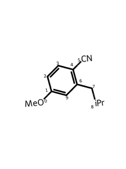 COc1ccc(C#N)c(CC(C)C)c1